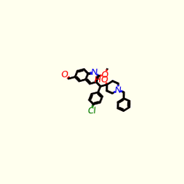 COc1nc2ccc(C=O)cc2cc1C(c1ccc(Cl)cc1)C1(O)CCN(Cc2ccccc2)CC1